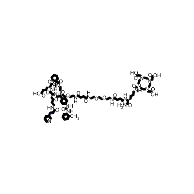 Cc1ccccc1NC(=O)Nc1ccc(CC(=O)N[C@@H](CCCCNC(=O)/C=C/c2cccnc2)C(=O)N[C@@H](CCCC(=O)O)C(=O)NC2(C(=O)NCCOCCOCCNC(=O)CCC(=O)NCCOCCOCCNC(=O)CCC(=O)N[C@@H](CCCCNC(=O)N3CCN(CC(=O)O)CCN(CC(=O)O)CCN(CC(=O)O)CC3)C(N)=O)CCCCC2)cc1